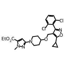 CCOC(=O)c1cc(N2CCC(OCc3c(-c4c(Cl)cccc4Cl)noc3C3CC3)CC2)nn1C